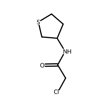 O=C(CCl)NC1CCSC1